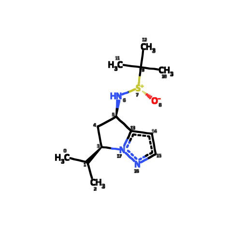 CC(C)[C@H]1C[C@@H](N[S@@+]([O-])C(C)(C)C)c2ccnn21